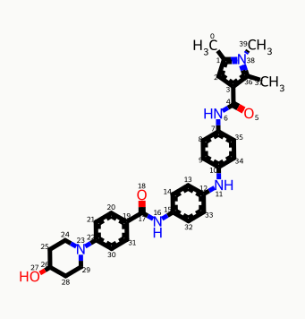 Cc1cc(C(=O)Nc2ccc(Nc3ccc(NC(=O)c4ccc(N5CCC(O)CC5)cc4)cc3)cc2)c(C)n1C